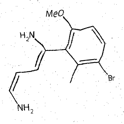 COc1ccc(Br)c(C)c1/C(N)=C/C=C\N